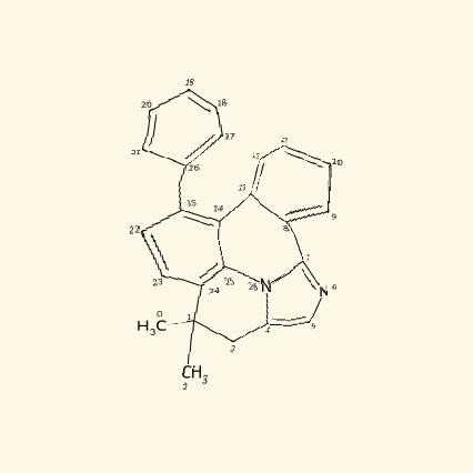 CC1(C)Cc2cnc3c4ccccc4c4c(-c5ccccc5)ccc1c4n23